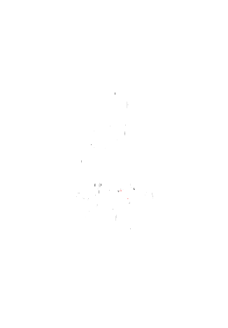 C=C1C(=O)[C@]23[C@H](OC(=O)C4CCC(NS(=O)(=O)c5cccc(C(F)(F)F)c5)CC4)[C@H]1CC[C@H]2[C@@]12CO[C@]3(O)[C@@H](O)[C@@H]1C(C)(C)CCC2=O